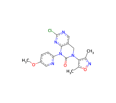 COc1ccc(N2C(=O)N(c3c(C)noc3C)Cc3cnc(Cl)nc32)nc1